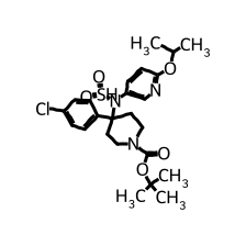 CC(C)Oc1ccc(N([SH](=O)=O)C2(c3ccc(Cl)cc3)CCN(C(=O)OC(C)(C)C)CC2)cn1